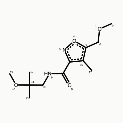 COCc1onc(C(=O)NCC(C)(C)OC)c1C